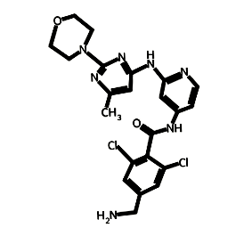 Cc1cc(Nc2cc(NC(=O)c3c(Cl)cc(CN)cc3Cl)ccn2)nc(N2CCOCC2)n1